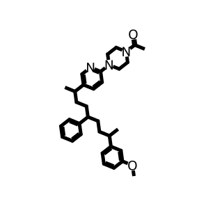 COc1cccc(C(C)CCC(CCC(C)c2ccc(N3CCN(C(C)=O)CC3)nc2)c2ccccc2)c1